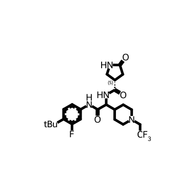 CC(C)(C)c1ccc(NC(=O)C(NC(=O)[C@@H]2CNC(=O)C2)C2CCN(CC(F)(F)F)CC2)cc1F